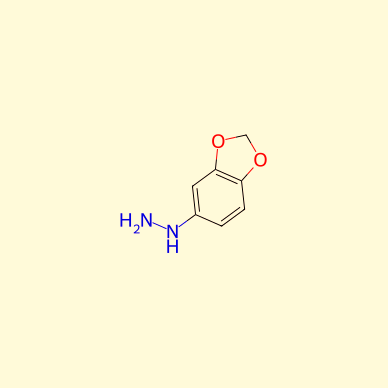 NNc1ccc2c(c1)OCO2